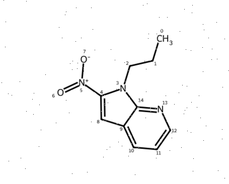 CCCn1c([N+](=O)[O-])cc2cccnc21